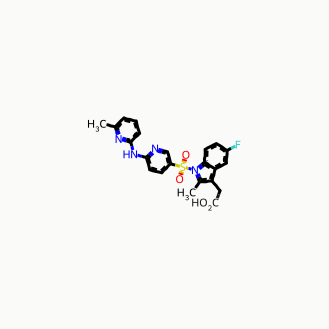 Cc1cccc(Nc2ccc(S(=O)(=O)n3c(C)c(CC(=O)O)c4cc(F)ccc43)cn2)n1